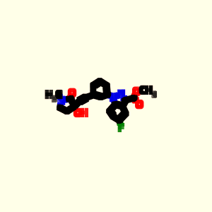 COC(=O)c1nn(-c2cccc(C#C[C@]3(O)CCN(C)C3=O)c2)c2ccc(F)cc12